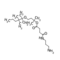 CCCC(C)(C)C(C)(C)OCCC(C)(C)OC(=O)CCC(=O)NCCCN